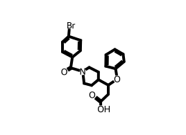 O=C(O)CC(Oc1ccccc1)C1CCN(C(=O)c2ccc(Br)cc2)CC1